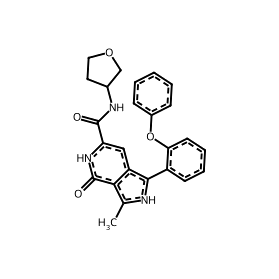 Cc1[nH]c(-c2ccccc2Oc2ccccc2)c2cc(C(=O)NC3CCOC3)[nH]c(=O)c12